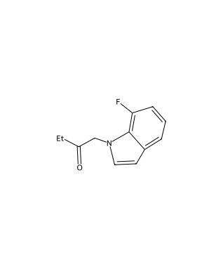 CCC(=O)Cn1ccc2cccc(F)c21